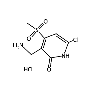 CS(=O)(=O)c1cc(Cl)[nH]c(=O)c1CN.Cl